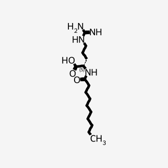 CCCCCCCCCC(=O)N[C@@H](CCCNC(=N)N)C(=O)O